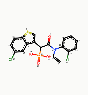 C=CN(C(=O)C(c1csc2ccc(Cl)cc12)P(=O)(O)O)c1ccccc1Cl